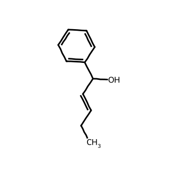 CCC=CC(O)c1ccccc1